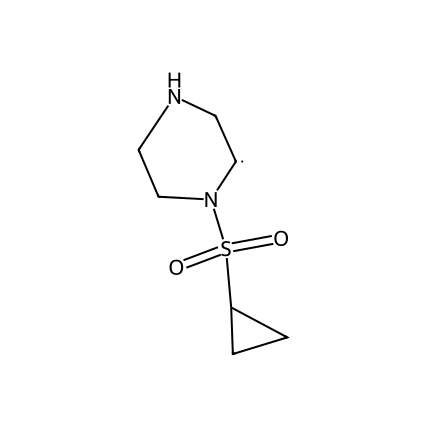 O=S(=O)(C1CC1)N1[CH]CNCC1